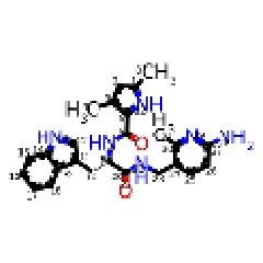 Cc1cc(C)c(C(=O)N[C@@H](Cc2c[nH]c3ccccc23)C(=O)NCc2ccc(N)nc2C)[nH]1